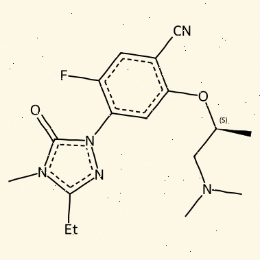 CCc1nn(-c2cc(O[C@@H](C)CN(C)C)c(C#N)cc2F)c(=O)n1C